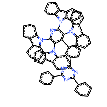 c1ccc(-c2nc(-c3ccccc3)nc(-c3cccc(-c4c(-n5c6ccccc6c6ccccc65)c(-n5c6ccccc6c6ccccc65)nc(-n5c6ccccc6c6ccccc65)c4-n4c5ccccc5c5ccccc54)c3)n2)cc1